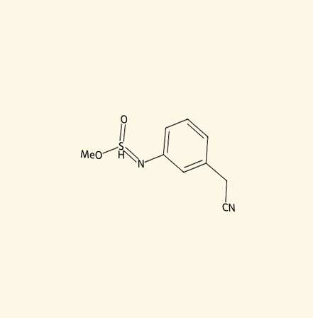 CO[SH](=O)=Nc1cccc(CC#N)c1